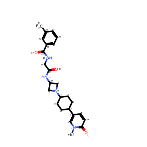 CCn1cc(C2CCC(N3CC(NC(=O)CNC(=O)c4cccc(C(F)(F)F)c4)C3)CC2)ccc1=O